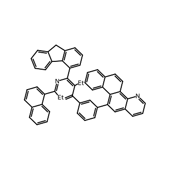 C=C(/C(CC)=C(\N=C(/CC)c1cccc2ccccc12)c1cccc2c1-c1ccccc1C2)c1cccc(-c2cc3cccnc3c3ccc4ccccc4c23)c1